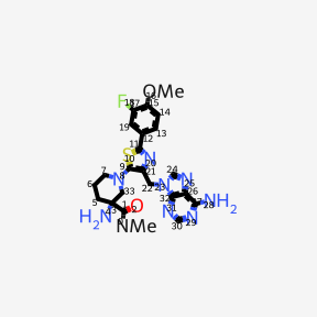 CNC(=O)C1(N)CCCN(c2sc(-c3ccc(OC)c(F)c3)nc2Cn2cnc3c(N)ncnc32)C1